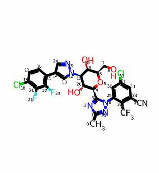 Cc1nc([C@@H]2O[C@H](CO)[C@H](O)[C@H](n3cc(-c4ccc(Cl)c(F)c4F)cn3)[C@H]2O)n(-c2cc(Cl)cc(C#N)c2C(F)(F)F)n1